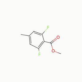 COC(=O)c1c(F)cc(C)cc1F